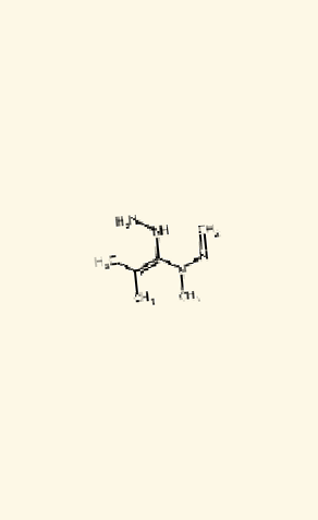 C=NN(C)C(NN)=C(C)C